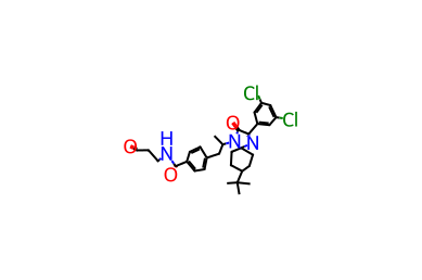 CC(Cc1ccc(C(=O)NCCC=O)cc1)N1C(=O)C(c2cc(Cl)cc(Cl)c2)=NC12CCC(C(C)(C)C)CC2